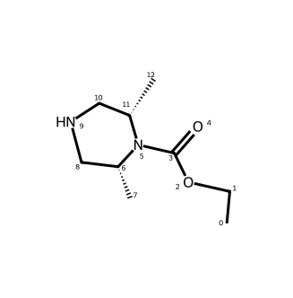 CCOC(=O)N1[C@H](C)CNC[C@@H]1C